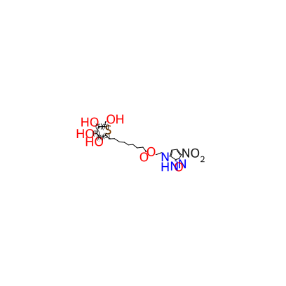 O=C(CCCCCCCC[C@@H]1S[C@H](CO)[C@@H](O)[C@H](O)[C@H]1O)OCCNc1ccc([N+](=O)[O-])c2nonc12